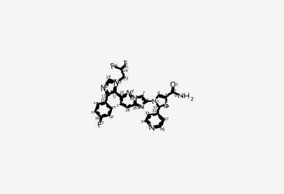 NC(=O)C1=CN(c2cn3nc(-c4c(-c5ccc(F)cc5)ncn4CC(F)F)ccc3n2)C(c2ccncc2)S1